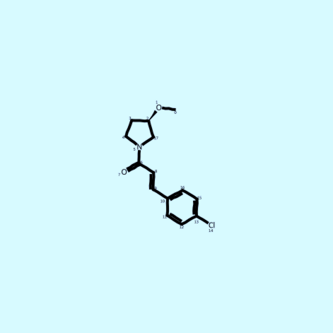 CO[C@@H]1CCN(C(=O)/C=C/c2ccc(Cl)cc2)C1